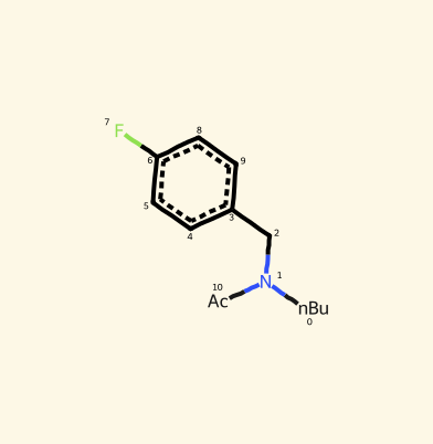 CCCCN(Cc1ccc(F)cc1)C(C)=O